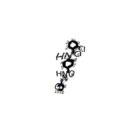 O=C(Nc1ccc(C(=O)N/N=C/c2ccco2)cc1)C1=C(Cl)C=CCC1